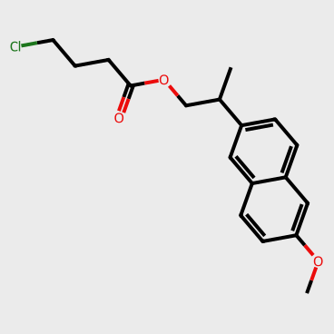 COc1ccc2cc(C(C)COC(=O)CCCCl)ccc2c1